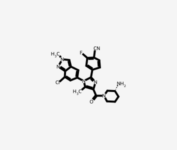 Cc1c(C(=O)N2CCC[C@@H](N)C2)nc(-c2ccc(C#N)c(F)c2)n1-c1cc(Cl)c2nn(C)cc2c1